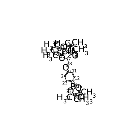 CC(C)(C)OC(=O)C(COc1ccc(B2OC(C)(C)C(C)(C)O2)cc1)O[Si](C)(C)C(C)(C)C